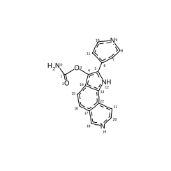 NC(=O)Oc1c(-c2ccncc2)[nH]c2c1ccc1cnccc12